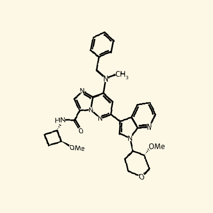 CO[C@H]1CC[C@@H]1NC(=O)c1cnc2c(N(C)Cc3ccccc3)cc(-c3cn(C4CCOC[C@H]4OC)c4ncccc34)nn12